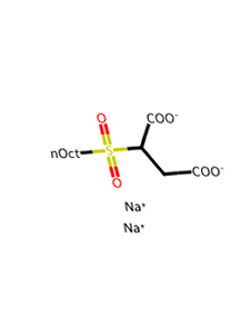 CCCCCCCCS(=O)(=O)C(CC(=O)[O-])C(=O)[O-].[Na+].[Na+]